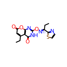 CC/C(=N\Oc1nc2oc(=O)cc(CC)c2c(=O)[nH]1)c1nccs1